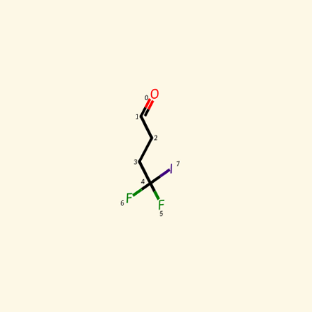 O=CCCC(F)(F)I